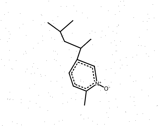 Cc1ccc(C(C)CC(C)C)c[n+]1[O-]